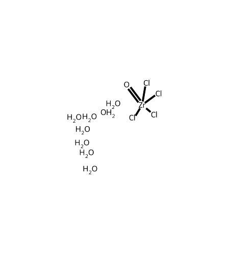 O.O.O.O.O.O.O.O.[O]=[Zr]([Cl])([Cl])([Cl])[Cl]